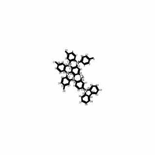 Cc1ccc(N2c3ccc(C)cc3B3c4cc(C)ccc4N4c5ccc(C)cc5B5c6ccc(-n7c8ccccc8c8ccccc87)cc6Oc6cc2c3c4c65)cc1